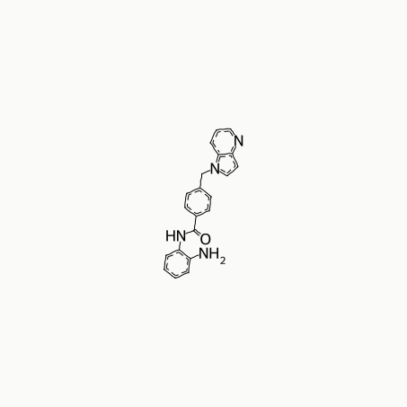 Nc1ccccc1NC(=O)c1ccc(Cn2ccc3ncccc32)cc1